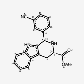 COC(=O)[C@@H]1Cc2c([nH]c3ccccc23)[C@@H](c2cccc(C#N)c2)N1